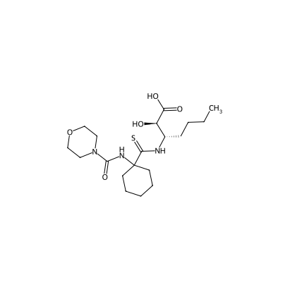 CCCC[C@H](NC(=S)C1(NC(=O)N2CCOCC2)CCCCC1)[C@@H](O)C(=O)O